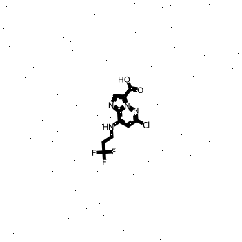 O=C(O)c1cnc2c(NCCC(F)(F)F)cc(Cl)nn12